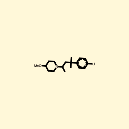 COC1CCN(C(C)CC(C)(C)c2ccc(Cl)cc2)CC1